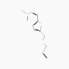 [CH2]N(C)/N=C\c1ccc(COCC=C)o1